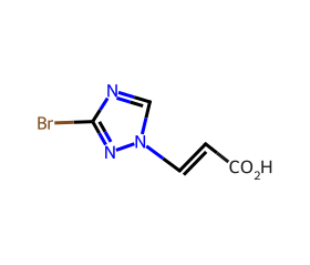 O=C(O)/C=C/n1cnc(Br)n1